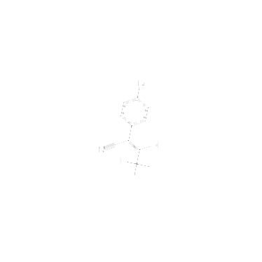 N#CC(=C(O)C(F)(F)F)c1ccc(Br)cc1